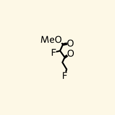 COC(=O)C(F)C(=O)CCF